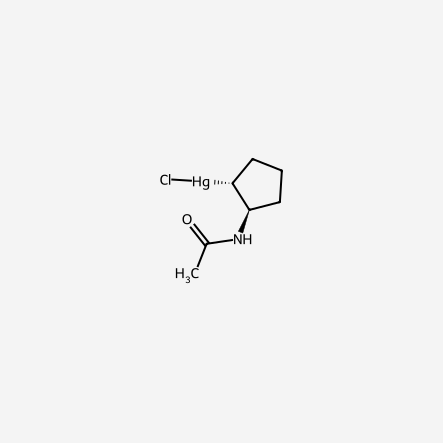 CC(=O)N[C@@H]1CCC[C@H]1[Hg][Cl]